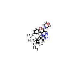 CCC(Nc1ncc(C(=O)N2CCOCC2)c(-c2cccc(C)c2)n1)C(C)C1CC(C)C1(C)C